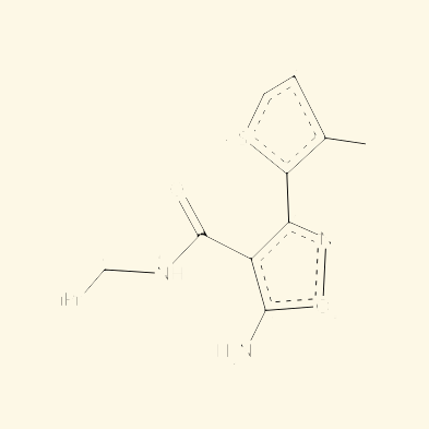 Cc1ccsc1-c1noc(N)c1C(=O)NCC(C)C